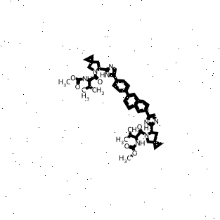 COC(=O)NC(C(=O)N1CC2(CC2)CC1c1ncc(-c2ccc(-c3ccc4cc(-c5cnc(C6CC7(CC7)CN6C(=O)C(NC(=O)OC)C(C)C)[nH]5)ccc4c3)cc2)[nH]1)C(C)C